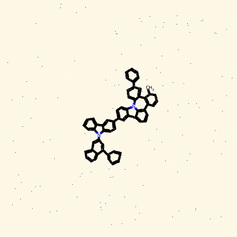 CC1CC=CC2=C1c1cc(-c3ccccc3)ccc1-n1c3ccc(-c4ccc5c(c4)c4ccccc4n5-c4cc(-c5ccccc5)c5ccccc5c4)cc3c3cccc2c31